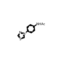 CC(=O)Nc1ccc(-[n+]2cscn2)cc1